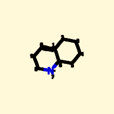 C1=C2CCCCC2[N]CC1